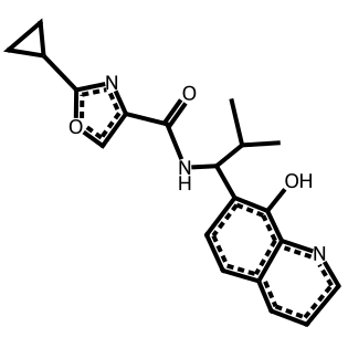 CC(C)C(NC(=O)c1coc(C2CC2)n1)c1ccc2cccnc2c1O